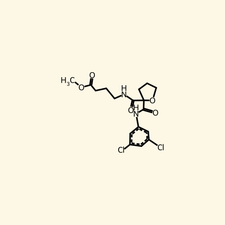 COC(=O)CCCNC(=O)C1(C(=O)Nc2cc(Cl)cc(Cl)c2)CCCO1